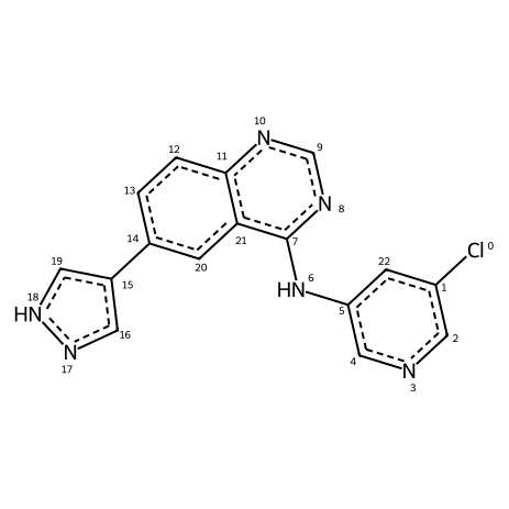 Clc1cncc(Nc2ncnc3ccc(-c4cn[nH]c4)cc23)c1